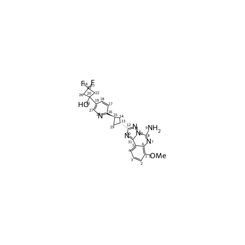 COc1cccc2c1nc(N)n1nc([C@H]3C[C@H](c4ccc(C5(O)CC(F)(F)C5)cn4)C3)nc21